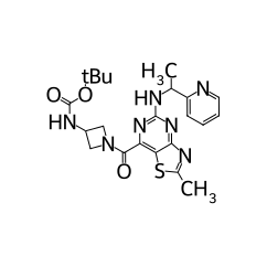 Cc1nc2nc(NC(C)c3ccccn3)nc(C(=O)N3CC(NC(=O)OC(C)(C)C)C3)c2s1